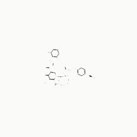 Cc1cc(F)c(CNC(=O)c2cn3c(c(O)c2=O)C(=O)N2C[C@@H]3[C@]3(CC[C@@H]2C)CC(=O)N(Cc2ccc(C#N)cc2)O3)c(F)c1